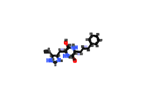 CC(C)(C)c1[nH]cnc1/C=c1\[nH]c(=O)/c(=C/C=C/c2ccccc2)[nH]c1=O